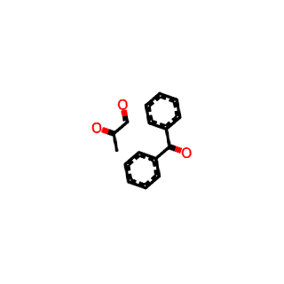 CC(=O)C=O.O=C(c1ccccc1)c1ccccc1